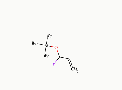 C=CC(I)O[Si](C(C)C)(C(C)C)C(C)C